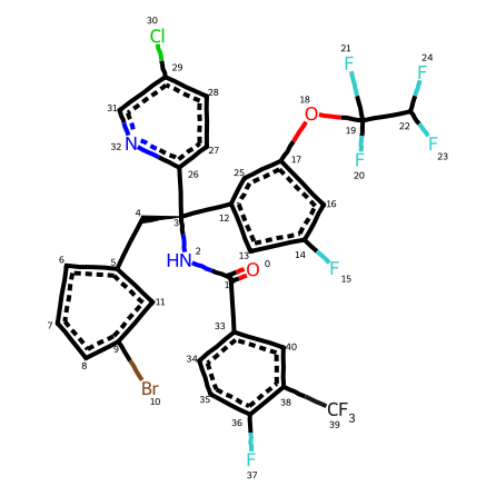 O=C(N[C@@](Cc1cccc(Br)c1)(c1cc(F)cc(OC(F)(F)C(F)F)c1)c1ccc(Cl)cn1)c1ccc(F)c(C(F)(F)F)c1